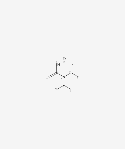 CC(C)N(C(=S)S)C(C)C.[Fe]